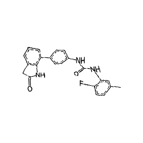 Cc1ccc(F)c(NC(=O)Nc2ccc(-c3cccc4c3NC(=O)C4)cc2)c1